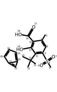 Cc1cc(S(C)(=O)=O)c(C(C)(C)C)c(O)c1C(=O)O.c1cc2cc-2c1